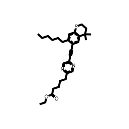 CCCCCCc1cc2c(cc1C#Cc1cnc(CCCCC(=O)OCC)cn1)C(C)(C)CCS2